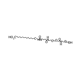 O=C(O)CCCCCCCCCCCCCCCCC(=O)NCCCC(=O)NCCOCCOCC(=O)NCCOCCO